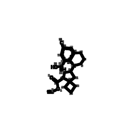 CC(C)(C)OC(=O)N1CC(N2CCCc3cc(Cl)cc(B(O)O)c32)CC12CCC2